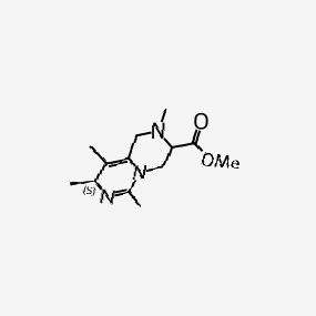 COC(=O)C1CN2C(C)=N[C@@H](C)C(C)=C2CN1C